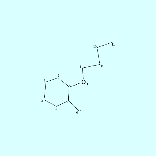 [CH2]C1CCCCC1OCCCC